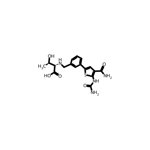 C[C@@H](O)[C@H](NCc1cccc(-c2cc(C(N)=O)c(NC(N)=O)s2)c1)C(=O)O